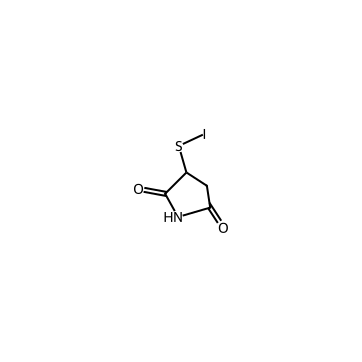 O=C1CC(SI)C(=O)N1